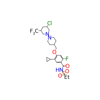 CCS(=O)(=O)NC(=O)c1cc(C2CC2)c(OCC2CCN(N3CC(Cl)CC(C(F)(F)F)C3)CC2)cc1F